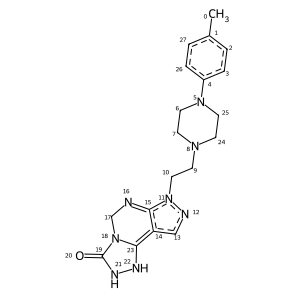 Cc1ccc(N2CCN(CCn3ncc4c3=NCN3C(=O)NNC=43)CC2)cc1